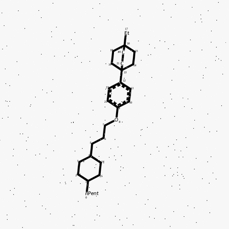 CCCCCC1CCC(CCCOc2ccc(C34CCC(CC)(CC3)CC4)cc2)CC1